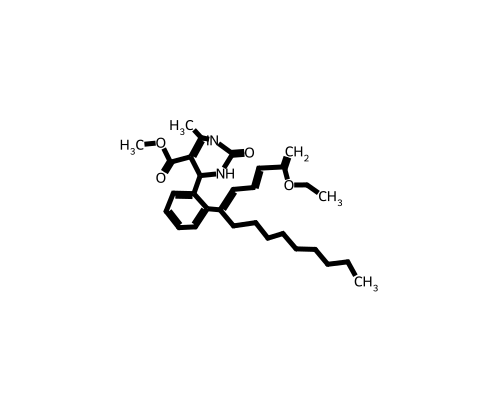 C=C(C=CC=C(CCCCCCCCC)c1ccccc1C1NC(=O)NC(C)=C1C(=O)OC)OCC